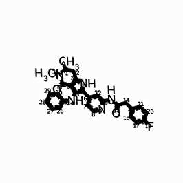 CC1Cc2[nH]c(-c3ccnc(NC(=O)Cc4ccc(F)cc4)c3)c(Nc3ccccc3)c2C(=O)N1C